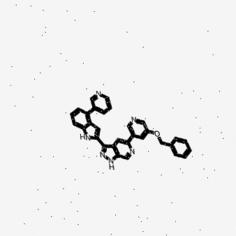 c1ccc(COc2cncc(-c3cc4c(-c5cc6c(-c7cccnc7)cccc6[nH]5)n[nH]c4cn3)c2)cc1